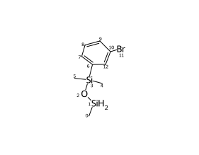 C[SiH2]O[Si](C)(C)c1cccc(Br)c1